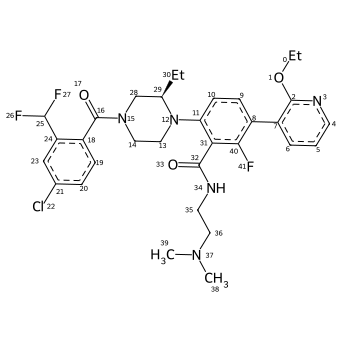 CCOc1ncccc1-c1ccc(N2CCN(C(=O)c3ccc(Cl)cc3C(F)F)C[C@H]2CC)c(C(=O)NCCN(C)C)c1F